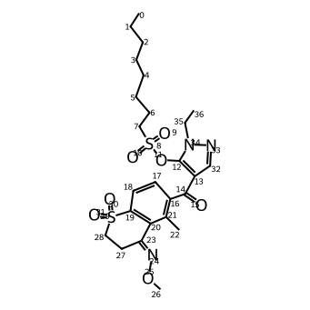 CCCCCCCCS(=O)(=O)Oc1c(C(=O)c2ccc3c(c2C)C(=NOC)CCS3(=O)=O)cnn1CC